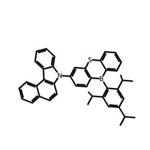 CC(C)c1cc(C(C)C)c(B2c3ccccc3Sc3cc(-n4c5ccccc5c5c6ccccc6ccc54)ccc32)c(C(C)C)c1